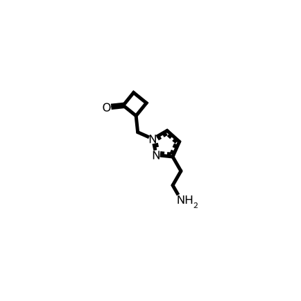 NCCc1ccn(CC2CCC2=O)n1